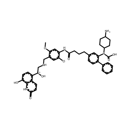 COc1cc(NC(=O)CCCc2ccc(-c3ccccc3)c(N(C(=O)O)C3CCC(N)CC3)c2)c(Cl)cc1CNC[C@@H](O)c1ccc(O)c2[nH]c(=O)ccc12